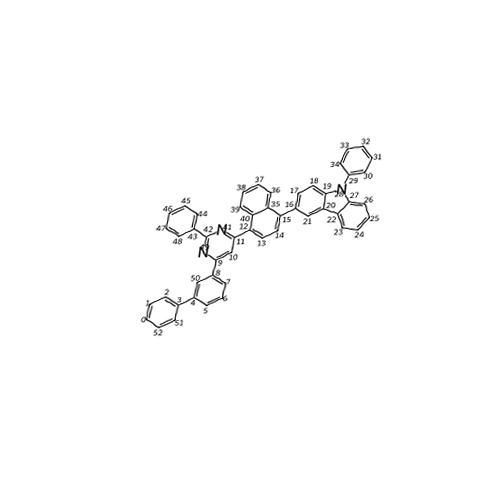 c1ccc(-c2cccc(-c3cc(-c4ccc(-c5ccc6c(c5)c5ccccc5n6-c5ccccc5)c5ccccc45)nc(-c4ccccc4)n3)c2)cc1